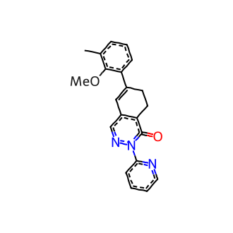 COc1c(C)cccc1C1=Cc2cnn(-c3ccccn3)c(=O)c2CC1